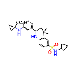 CC1(C)CC(c2cccc(NC3(C(=O)O)CC3)c2)Nc2ccc(S(=O)(=O)NC3CCC3)cc21